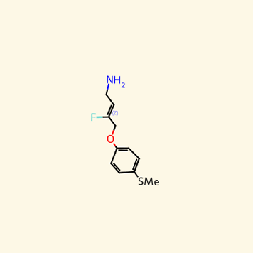 CSc1ccc(OC/C(F)=C/CN)cc1